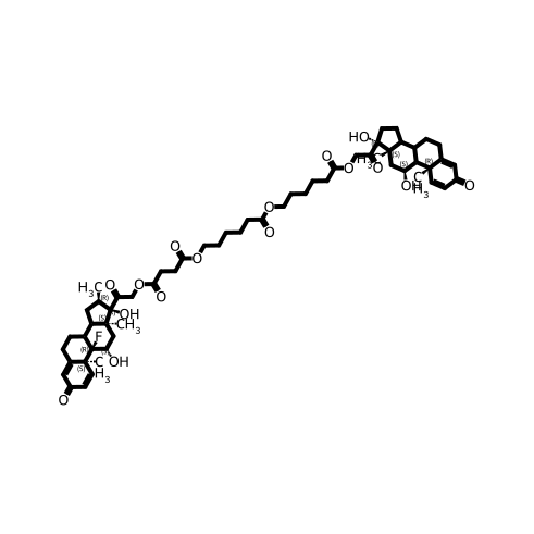 C[C@@H]1CC2C3CCC4=CC(=O)C=C[C@]4(C)[C@@]3(F)[C@@H](O)C[C@]2(C)[C@@]1(O)C(=O)COC(=O)CCC(=O)OCCCCCC(=O)OCCCCCC(=O)OCC(=O)[C@@]1(O)CCC2C3CCC4=CC(=O)C=C[C@]4(C)C3[C@@H](O)C[C@@]21C